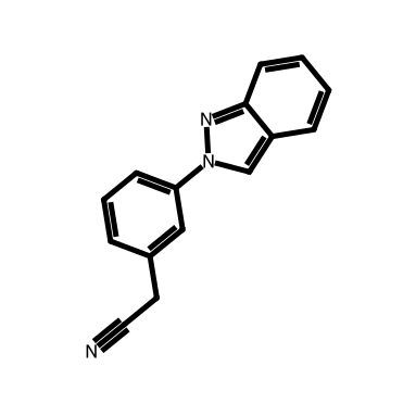 N#CCc1cccc(-n2cc3ccccc3n2)c1